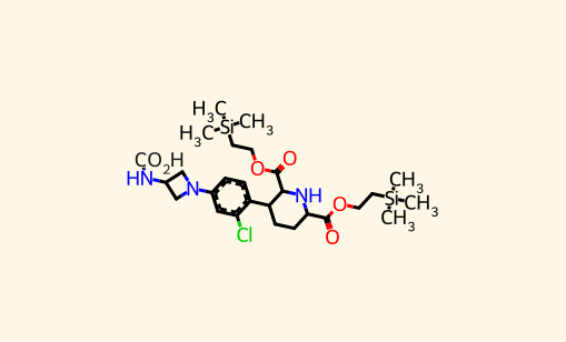 C[Si](C)(C)CCOC(=O)C1CCC(c2ccc(N3CC(NC(=O)O)C3)cc2Cl)C(C(=O)OCC[Si](C)(C)C)N1